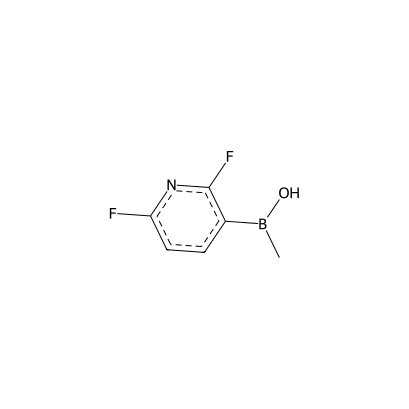 CB(O)c1ccc(F)nc1F